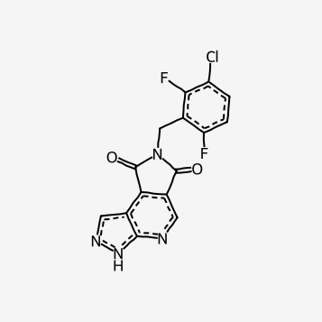 O=C1c2cnc3[nH]ncc3c2C(=O)N1Cc1c(F)ccc(Cl)c1F